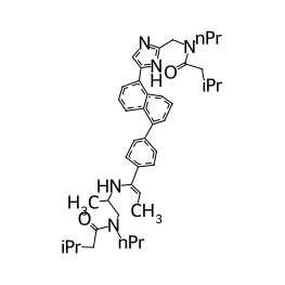 C/C=C(\NC(C)CN(CCC)C(=O)CC(C)C)c1ccc(-c2cccc3c(-c4cnc(CN(CCC)C(=O)CC(C)C)[nH]4)cccc23)cc1